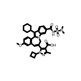 COc1ccc2c(c1)C=C(c1c(C(=O)O)c(C)nn1C1CCC1)Cn1c-2c(C2CCCCC2)c2ccc(C(=O)NS(=O)(=O)N(C)C)cc21